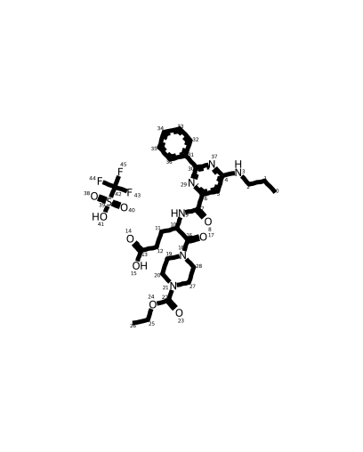 CCCNc1cc(C(=O)NC(CCC(=O)O)C(=O)N2CCN(C(=O)OCC)CC2)nc(-c2ccccc2)n1.O=S(=O)(O)C(F)(F)F